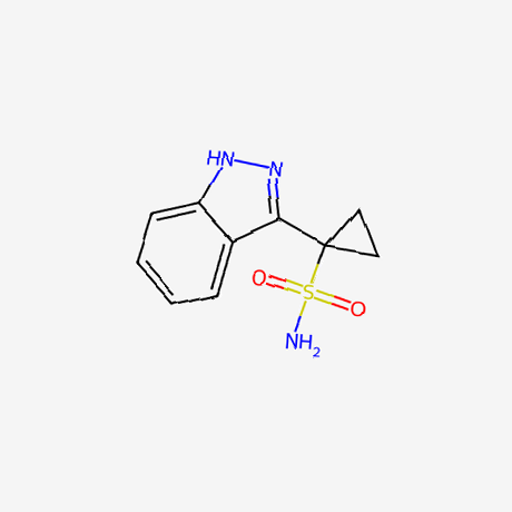 NS(=O)(=O)C1(c2n[nH]c3ccccc23)CC1